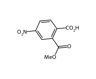 COC(=O)c1cc([N+](=O)[O-])ccc1C(=O)O